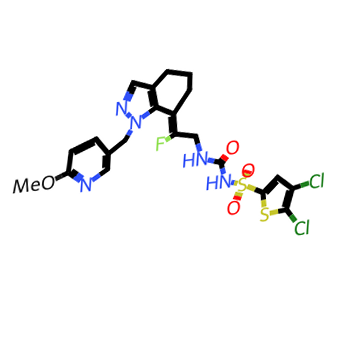 COc1ccc(Cn2ncc3c2/C(=C(\F)CNC(=O)NS(=O)(=O)c2cc(Cl)c(Cl)s2)CCC3)cn1